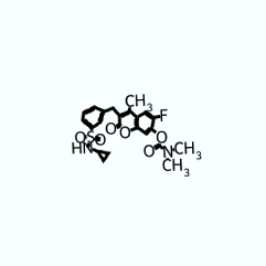 Cc1c(Cc2cccc(S(=O)(=O)NC3CC3)c2)c(=O)oc2cc(OC(=O)N(C)C)c(F)cc12